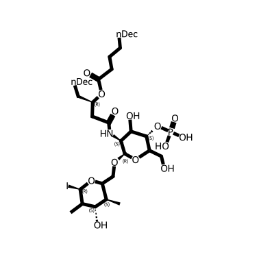 CCCCCCCCCCCCCC(=O)O[C@H](CCCCCCCCCCC)CC(=O)N[C@H]1C(O)[C@H](OP(=O)(O)O)C(CO)O[C@H]1OCC1O[C@H](I)C(C)[C@@H](O)[C@@H]1C